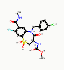 CCC(C)NC(=O)c1cc2c(cc1F)S(=O)(=O)C[C@H](NC(=O)OC(C)(C)C)C(=O)N2Cc1ccc(Cl)cc1